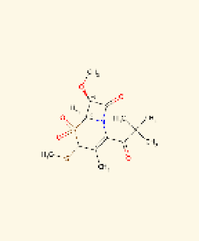 CO[C@H]1C(=O)N2C(C(=O)C(C)(C)C)=C(C)C(SC)S(=O)(=O)[C@@H]12